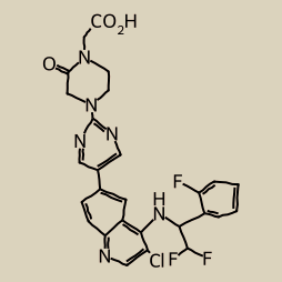 O=C(O)CN1CCN(c2ncc(-c3ccc4ncc(Cl)c(NC(c5ccccc5F)C(F)F)c4c3)cn2)CC1=O